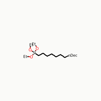 CCCCCCCCCCCCCCCCC[Si](OCC)(OCC)OCC